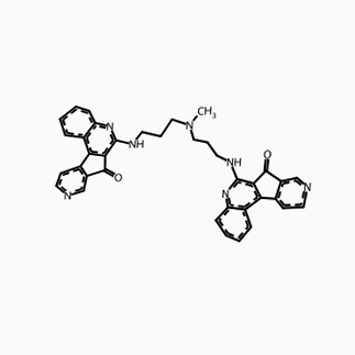 CN(CCCNc1nc2ccccc2c2c1C(=O)c1cnccc1-2)CCCNc1nc2ccccc2c2c1C(=O)c1cnccc1-2